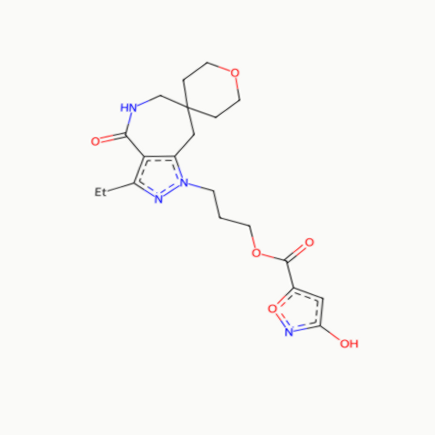 CCc1nn(CCCOC(=O)c2cc(O)no2)c2c1C(=O)NCC1(CCOCC1)C2